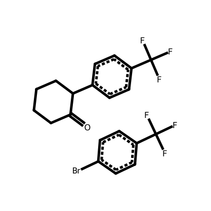 FC(F)(F)c1ccc(Br)cc1.O=C1CCCCC1c1ccc(C(F)(F)F)cc1